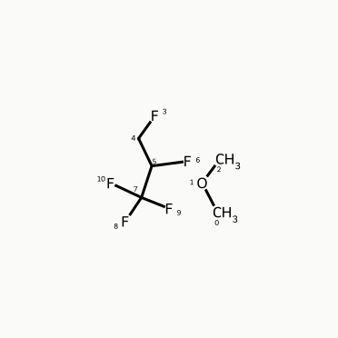 COC.FCC(F)C(F)(F)F